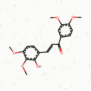 COc1ccc(C(=O)C=Cc2ccc(OC)c(OC)c2O)cc1OC